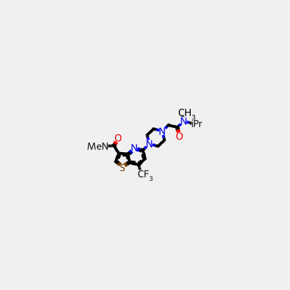 CNC(=O)c1csc2c(C(F)(F)F)cc(N3CCN(CC(=O)N(C)C(C)C)CC3)nc12